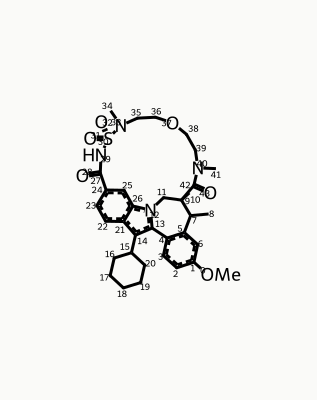 COc1ccc2c(c1)C(C)C1(C)Cn3c-2c(C2CCCCC2)c2ccc(cc23)C(=O)NS(=O)(=O)N(C)CCOCCN(C)C1=O